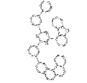 c1ccc(-c2cccc(-c3nc(-c4cccc(-c5ccc6ccc7ccc8ccccc8c7c6c5)c4)nc(-c4cccc5oc6ccccc6c45)n3)c2)cc1